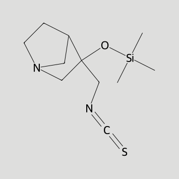 C[Si](C)(C)OC1(CN=C=S)CN2CCC1C2